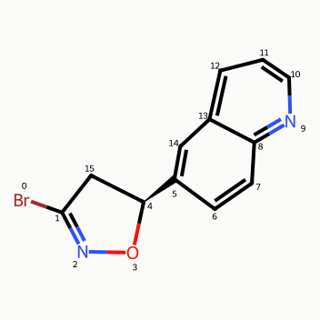 BrC1=NO[C@H](c2ccc3ncccc3c2)C1